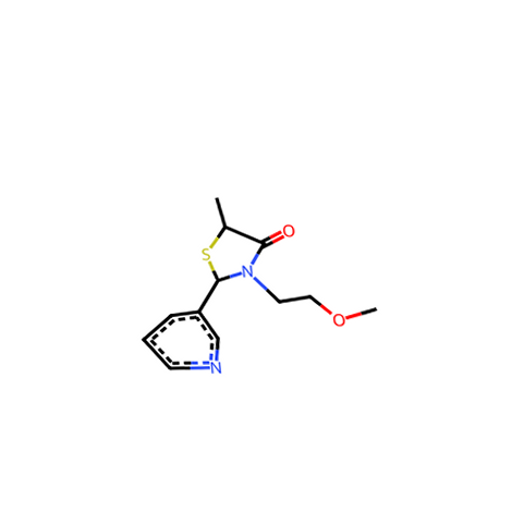 COCCN1C(=O)C(C)SC1c1cccnc1